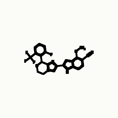 COc1c(C#N)ccc2[nH]c(-c3cn4c(n3)C(c3c(F)cccc3C(F)(F)F)OCC4)cc12